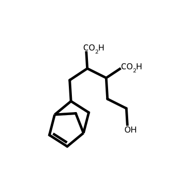 O=C(O)C(CCO)C(CC1CC2C=CC1C2)C(=O)O